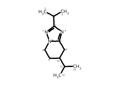 CC(C)c1nc2n(n1)CCC(C(C)C)C2